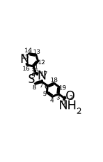 NC(=O)c1ccc(-c2csc(-c3cccnc3)n2)cc1